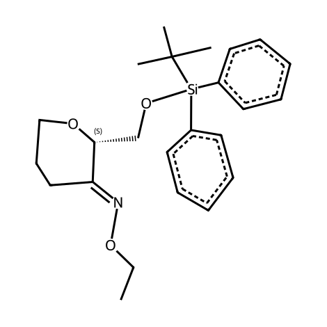 CCON=C1CCCO[C@@H]1CO[Si](c1ccccc1)(c1ccccc1)C(C)(C)C